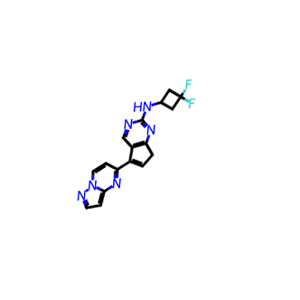 FC1(F)CC(Nc2ncc3c(n2)CC=C3c2ccn3nccc3n2)C1